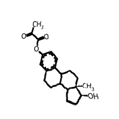 CC(=O)C(=O)Oc1ccc2c(c1)CCC1C2CC[C@@]2(C)C1CC[C@@H]2O